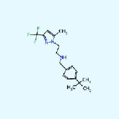 Cc1cc(C(F)(F)F)nn1CCNCc1ccc(C(C)(C)C)cc1